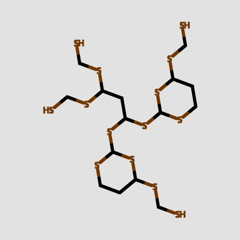 SCSC(CC(SC1SCCC(SCS)S1)SC1SCCC(SCS)S1)SCS